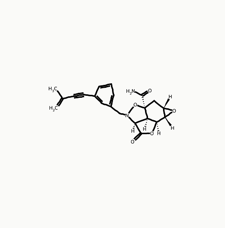 C=C(C)C#Cc1cccc(CN2O[C@@]3(C(N)=O)C[C@@H]4O[C@@H]4[C@H]4OC(=O)[C@@H]2[C@H]43)c1